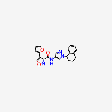 O=C(Nc1cnn(C2CCCc3ccccc32)c1)c1nocc1-c1ccco1